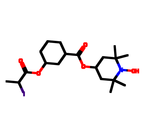 CC(I)C(=O)OC1CCCC(C(=O)OC2CC(C)(C)N(O)C(C)(C)C2)C1